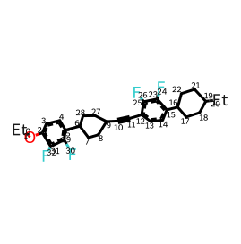 CCOc1ccc(C2CCC(C#Cc3ccc(C4CCC(CC)CC4)c(F)c3F)CC2)c(F)c1F